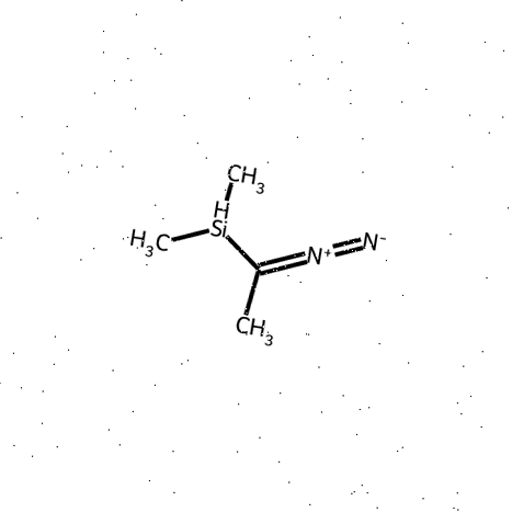 CC(=[N+]=[N-])[SiH](C)C